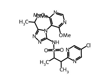 COc1ncnc(OC)c1-n1c(NS(=O)(=O)C(C)C(C)c2ncc(Cl)cn2)nnc1C(C)OC